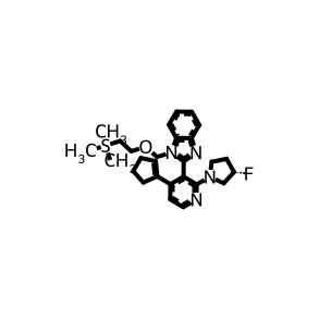 CS(C)(C)CCOCn1c(-c2c(C3=CCCC3)ccnc2N2CC[C@H](F)C2)nc2ccccc21